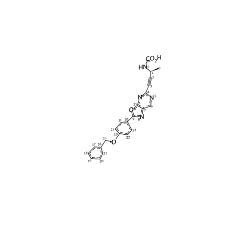 C[C@@H](C#Cc1ncc2nc(-c3ccc(OCc4ccccc4)cc3)oc2n1)NC(=O)O